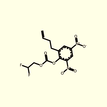 C=CCCc1cc([N+](=O)[O-])cc([N+](=O)[O-])c1OC(=O)OCC(F)F